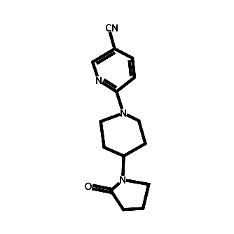 N#Cc1ccc(N2CCC(N3CCCC3=O)CC2)nc1